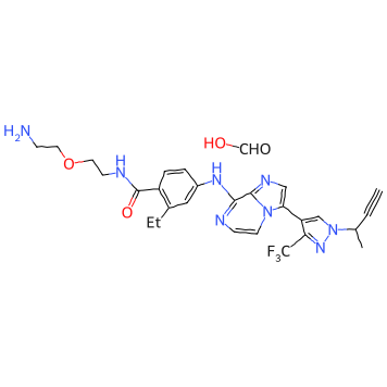 C#CC(C)n1cc(-c2cnc3c(Nc4ccc(C(=O)NCCOCCN)c(CC)c4)nccn23)c(C(F)(F)F)n1.O=CO